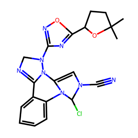 CC1(C)CCC(c2nc(N3CN=C4c5ccccc5N5C(=CN(C#N)C5Cl)N43)no2)O1